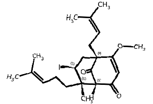 COC1=CC(=O)[C@H]2C(=O)[C@]1(CC=C(C)C)C[C@H](I)[C@@]2(C)CCC=C(C)C